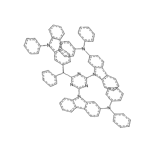 c1ccc(C(c2ccc3c4ccccc4n(-c4ccccc4)c3c2)c2nc(-n3c4ccccc4c4ccc(N(c5ccccc5)c5ccccc5)cc43)nc(-n3c4ccccc4c4ccc(N(c5ccccc5)c5ccccc5)cc43)n2)cc1